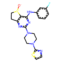 [O-][S+]1CCc2nc(N3CCN(c4nccs4)CC3)nc(Nc3cccc(F)c3)c21